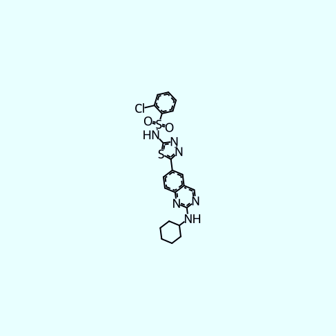 O=S(=O)(Nc1nnc(-c2ccc3nc(NC4CCCCC4)ncc3c2)s1)c1ccccc1Cl